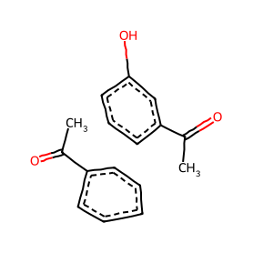 CC(=O)c1cccc(O)c1.CC(=O)c1ccccc1